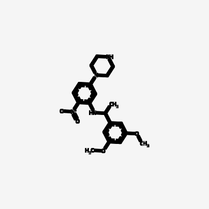 COc1cc(OC)cc(C(C)Nc2cc(N3CCNCC3)ccc2[N+](=O)[O-])c1